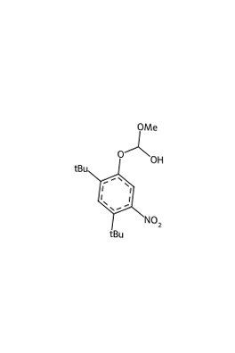 COC(O)Oc1cc([N+](=O)[O-])c(C(C)(C)C)cc1C(C)(C)C